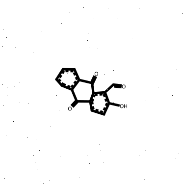 O=Cc1c(O)ccc2c1C(=O)c1ccccc1C2=O